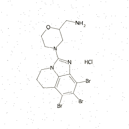 Cl.NCC1CN(c2nc3c(Br)c(Br)c(Br)c4c3n2CCC4)CCO1